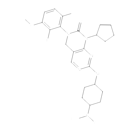 CCOc1ccc(Cl)c(N2Cc3cnc(NC4CCC(N(C)C)CC4)nc3N(C3CCCC3)C2=O)c1F